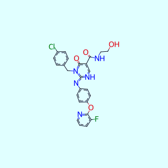 O=C(NCCO)c1c[nH]/c(=N\c2ccc(Oc3ncccc3F)cc2)n(Cc2ccc(Cl)cc2)c1=O